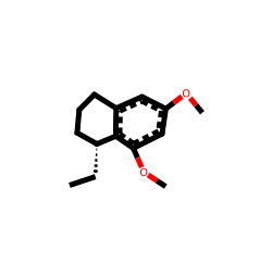 CC[C@@H]1CCCc2cc(OC)cc(OC)c21